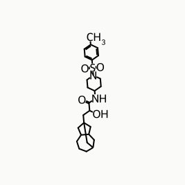 Cc1ccc(S(=O)(=O)N2CCC(NC(=O)C(O)CC34CC5CCCC(C3)C(C5)C4)CC2)cc1